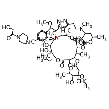 CC[C@H]1OC(=O)[C@H](C)[C@@H](O[C@H]2C[C@@](C)(OC)[C@@H](O)[C@H](C)O2)[C@H](C)[C@@H](O[C@@H]2O[C@H](C)C[C@H](N(C)CCc3cn([C@H](CF)C(OC)c4ccc(CN5CCN(C(=O)CO)CC5)cc4)nn3)[C@H]2O)[C@](C)(O)C[C@@H](C)CN(C)[C@H](C)[C@@H](O)[C@]1(C)O